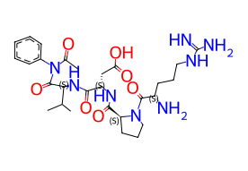 CC(=O)N(C(=O)[C@@H](NC(=O)[C@H](CC(=O)O)NC(=O)[C@@H]1CCCN1C(=O)[C@@H](N)CCCNC(=N)N)C(C)C)c1ccccc1